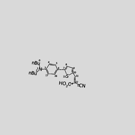 CCCCN(CCCC)c1ccc(-c2ccc(C=C(C#N)C(=O)O)s2)cc1